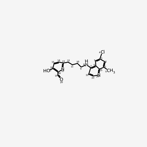 Cc1cc(Cl)cc2c(NCCCCc3ccc(O)c(C=O)n3)ccnc12